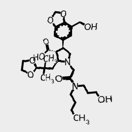 CCCCN(CCCO)C(=O)CN1C[C@H](c2cc(CO)c3c(c2)OCO3)[C@@H](C(=O)O)[C@@H]1CC(C)(C)C1OCCO1